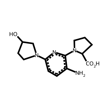 Nc1ccc(N2CCC(O)C2)nc1N1CCCC1C(=O)O